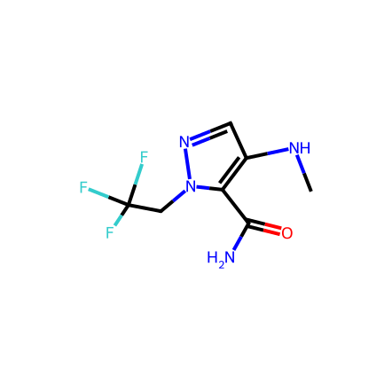 CNc1cnn(CC(F)(F)F)c1C(N)=O